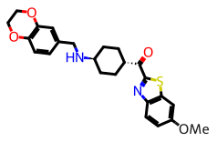 COc1ccc2nc(C(=O)[C@H]3CC[C@H](NCc4ccc5c(c4)OCCO5)CC3)sc2c1